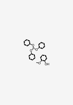 COc1ccccc1O.c1ccc(OP(Oc2ccccc2)Oc2ccccc2)cc1